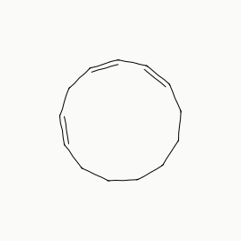 C1=CCC=CCCCCCCC=C1